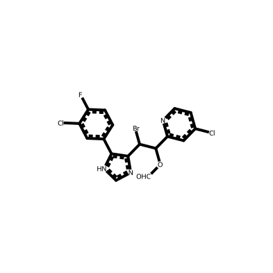 O=COC(c1cc(Cl)ccn1)C(Br)c1nc[nH]c1-c1ccc(F)c(Cl)c1